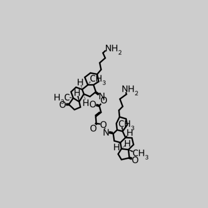 C[C@]12CCC(CCCCN)CC1C(=NOC(=O)/C=C/C(=O)O/N=C1/C[C@@H]3[C@@H](CC[C@]4(C)C(=O)CC[C@@H]34)[C@@]3(C)CCC(CCCCN)CC13)C[C@@H]1[C@H]2CC[C@]2(C)C(=O)CC[C@@H]12